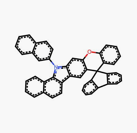 c1ccc2c(c1)Oc1cc3c(cc1C21c2ccccc2-c2ccccc21)c1ccc2ccccc2c1n3-c1ccc2ccccc2c1